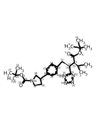 CC(C)[C@H](C(=O)OC(C)(C)C)[C@H](Cc1ccc(C2CCN(C(=O)OC(C)(C)C)C2)cc1)c1nnn[nH]1